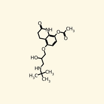 CC(=O)Oc1ccc(OCC(O)CNC(C)(C)C)c2c1NC(=O)CC2